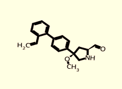 C=Cc1ccccc1-c1ccc([C@@]2(OC)CN[C@H](C=O)C2)cc1